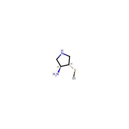 CCS[C@H]1CNC[C@@H]1N